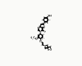 COc1cc(-n2cnc3cc(-c4ccc(O)cc4)sc3c2=O)ccc1OCCN1CC2(COC2)C1